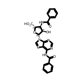 O=C(Nc1ncnc2c1ncn2[C@@H]1O[C@H](C(=O)O)[C@@H](NC(=O)c2ccccc2)[C@H]1O)c1ccccc1